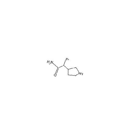 CC(C)C(C(N)=O)C1CCNC1